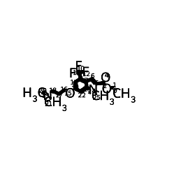 CCOC(=O)c1cc2c(C(F)(F)F)cc(OCCCN(C)C)cc2n1C